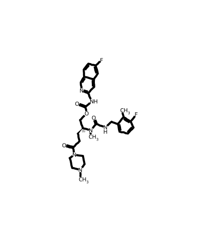 Cc1c(F)cccc1CNC(=O)N(C)[C@@H](CCC(=O)N1CCN(C)CC1)COC(=O)Nc1cc2cc(F)ccc2cn1